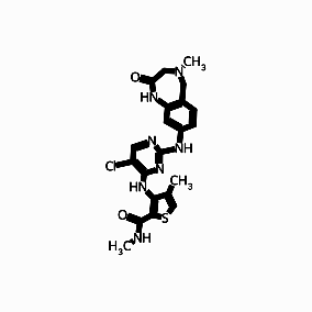 CNC(=O)c1scc(C)c1Nc1nc(Nc2ccc3c(c2)NC(=O)CN(C)C3)ncc1Cl